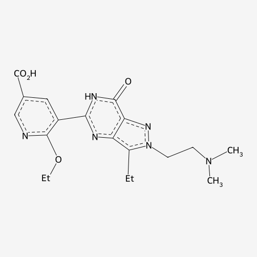 CCOc1ncc(C(=O)O)cc1-c1nc2c(CC)n(CCN(C)C)nc2c(=O)[nH]1